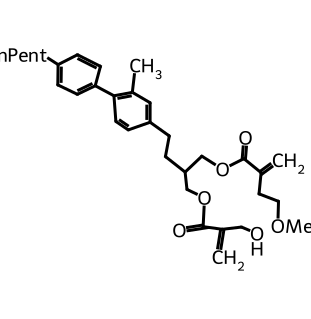 C=C(CO)C(=O)OCC(CCc1ccc(-c2ccc(CCCCC)cc2)c(C)c1)COC(=O)C(=C)CCOC